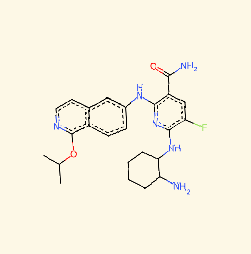 CC(C)Oc1nccc2cc(Nc3nc(NC4CCCCC4N)c(F)cc3C(N)=O)ccc12